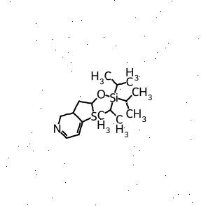 CC(C)[Si](OC1CC2CN=CC=C2S1)(C(C)C)C(C)C